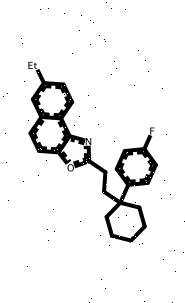 CCc1ccc2c(ccc3oc(CCC4(c5ccc(F)cc5)CCCCC4)nc32)c1